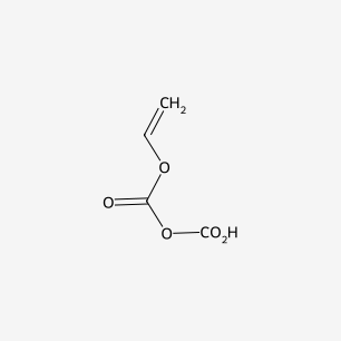 C=COC(=O)OC(=O)O